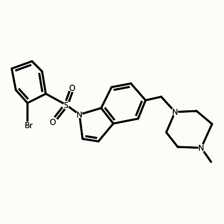 CN1CCN(Cc2ccc3c(ccn3S(=O)(=O)c3ccccc3Br)c2)CC1